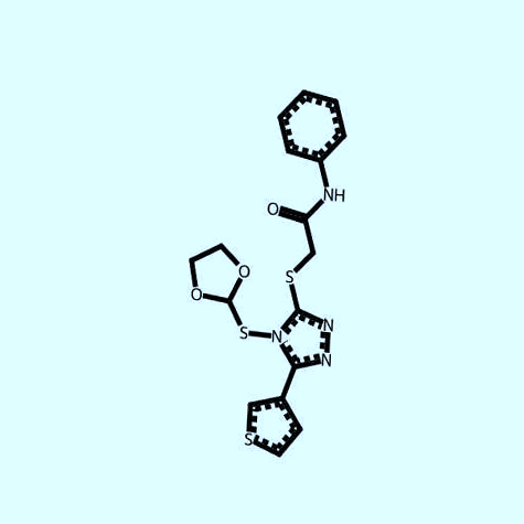 O=C(CSc1nnc(-c2ccsc2)n1SC1OCCO1)Nc1ccccc1